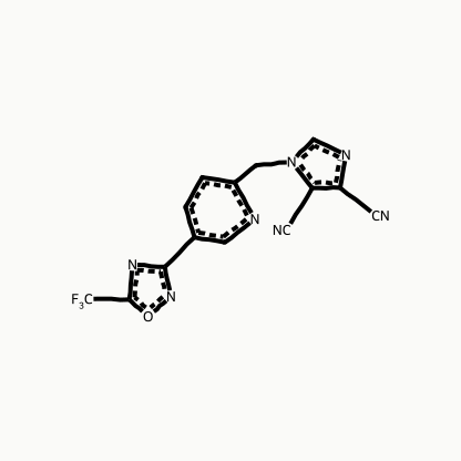 N#Cc1ncn(Cc2ccc(-c3noc(C(F)(F)F)n3)cn2)c1C#N